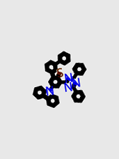 c1ccc(-c2nc(-c3ccccc3)nc(-c3cc(-n4c5ccccc5c5ccccc54)cc4c3sc3c(-c5ccccc5)cccc34)n2)cc1